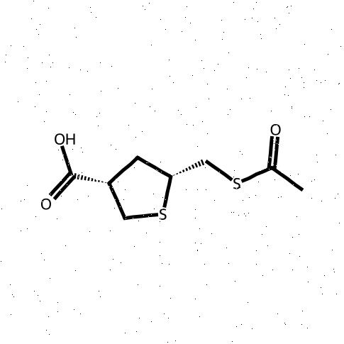 CC(=O)SC[C@H]1C[C@@H](C(=O)O)CS1